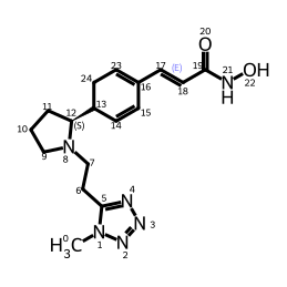 Cn1nnnc1CCN1CCC[C@H]1C1C=CC(/C=C/C(=O)NO)=CC1